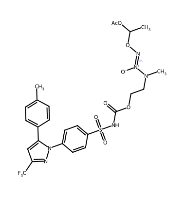 CC(=O)OC(C)O/N=[N+](\[O-])N(C)CCOC(=O)NS(=O)(=O)c1ccc(-n2nc(C(F)(F)F)cc2-c2ccc(C)cc2)cc1